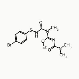 CCOC(=NC(=O)N(C)C)N(C)C(=O)NSc1ccc(Br)cc1